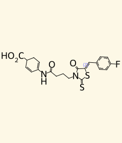 O=C(CCCN1C(=O)/C(=C/c2ccc(F)cc2)SC1=S)NC1=CCC(C(=O)O)C=C1